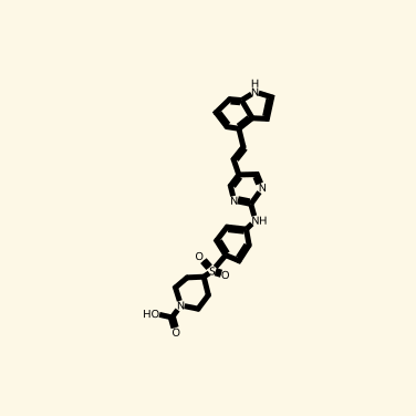 O=C(O)N1CCC(S(=O)(=O)c2ccc(Nc3ncc(C=Cc4cccc5[nH]ccc45)cn3)cc2)CC1